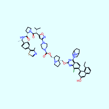 CCc1cccc2cc(O)cc(-c3ccc4c(N5CC6CCC(C5)N6)nc(OC[C@]56CCCN5[C@H](COC(=O)N5CCN(c7cc([C@H](C(=O)N8CCC[C@H]8C(=O)N[C@@H](C)c8ccc(-c9scnc9C)cc8)C(C)C)on7)CC5)CC6)nc4c3F)c12